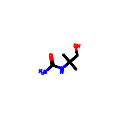 CC(C)(CO)NC(N)=O